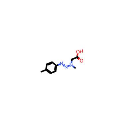 Cc1ccc(/N=N/N(C)CC(=O)O)cc1